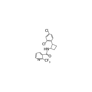 O=C(NC1CCC1c1ccc(Cl)cc1Cl)c1cccnc1C(F)(F)F